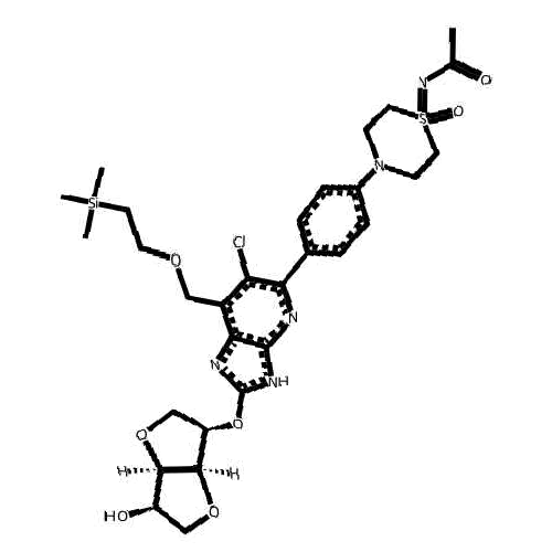 CC(=O)N=S1(=O)CCN(c2ccc(-c3nc4[nH]c(O[C@@H]5CO[C@H]6[C@@H]5OC[C@H]6O)nc4c(COCC[Si](C)(C)C)c3Cl)cc2)CC1